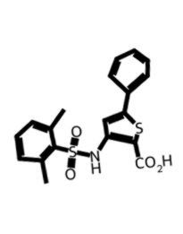 Cc1cccc(C)c1S(=O)(=O)Nc1cc(-c2ccccc2)sc1C(=O)O